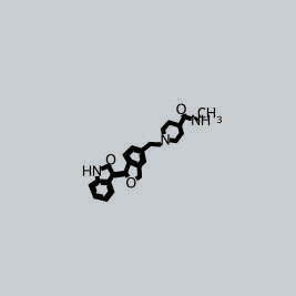 CNC(=O)C1CCN(CCc2ccc3c(c2)COC3=C2C(=O)Nc3ccccc32)CC1